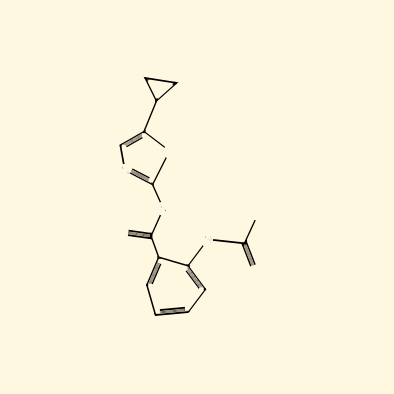 CC(=O)Nc1ccccc1C(=O)Nc1ncc(C2CC2)s1